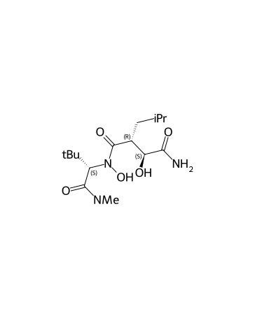 CNC(=O)[C@@H](N(O)C(=O)[C@H](CC(C)C)[C@H](O)C(N)=O)C(C)(C)C